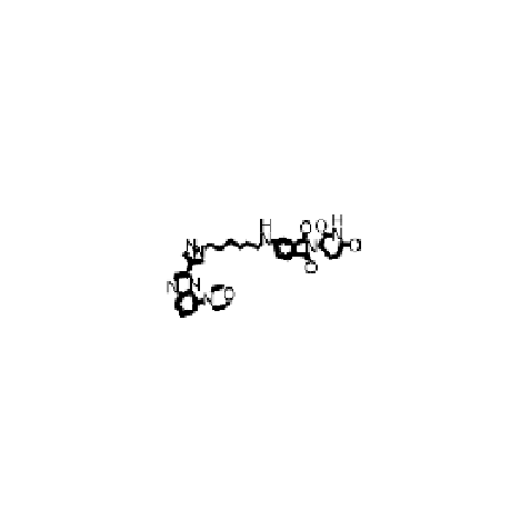 O=C1CCC(N2C(=O)c3ccc(NCCCCCCn4cc(-c5cnc6cccc(N7CCOCC7)c6n5)cn4)cc3C2=O)C(=O)N1